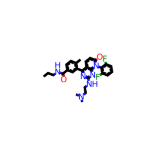 CCCNC(=O)c1ccc(C)c(-c2nc(NCCN(C)C)nc3c2ccc(=O)n3-c2c(F)cccc2F)c1